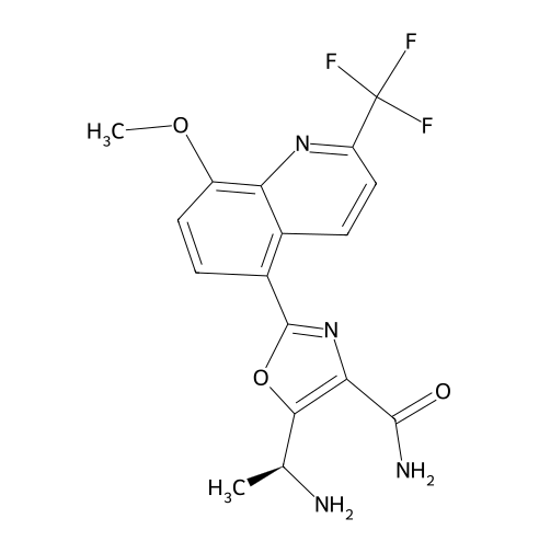 COc1ccc(-c2nc(C(N)=O)c([C@H](C)N)o2)c2ccc(C(F)(F)F)nc12